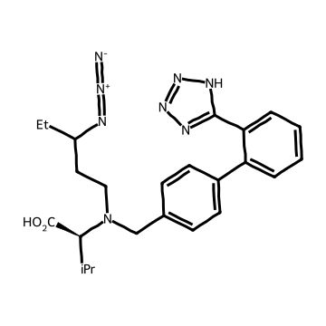 CCC(CCN(Cc1ccc(-c2ccccc2-c2nnn[nH]2)cc1)[C@H](C(=O)O)C(C)C)N=[N+]=[N-]